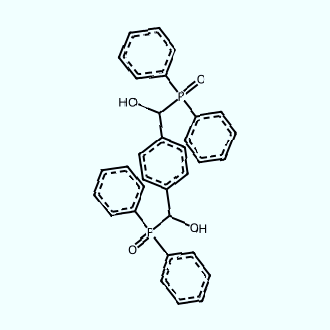 O=P(c1ccccc1)(c1ccccc1)C(O)c1ccc(C(O)P(=O)(c2ccccc2)c2ccccc2)cc1